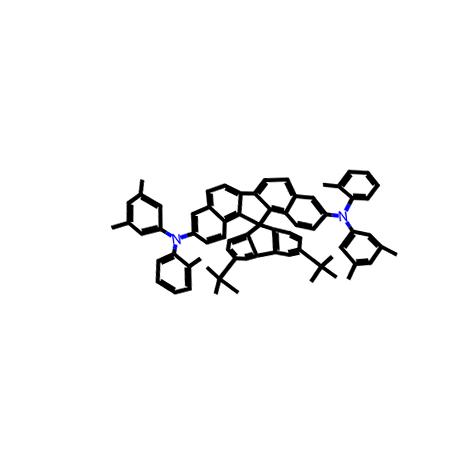 Cc1cc(C)cc(N(c2ccc3c4c(ccc3c2)-c2ccc3cc(N(c5cc(C)cc(C)c5)c5ccccc5C)ccc3c2C42c3ccc(C(C)(C)C)cc3-c3cc(C(C)(C)C)ccc32)c2ccccc2C)c1